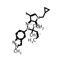 C=C1/C(=N\N(c2ccc3nn(C)cc3c2)C(C)(C)/C=C\C)C(I)=CN1CC1CC1